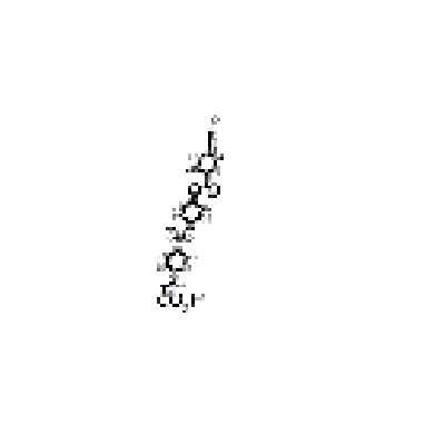 CC#Cc1ccc(C(=O)Oc2ccc(OC(=O)c3ccc(/C=C/C(=O)O)cc3)cc2)cc1